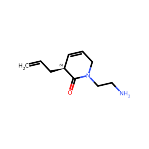 C=CC[C@H]1C=CCN(CCN)C1=O